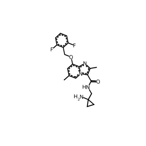 Cc1cc(OCc2c(F)cccc2F)c2nc(C)c(C(=O)NCC3(N)CC3)n2c1